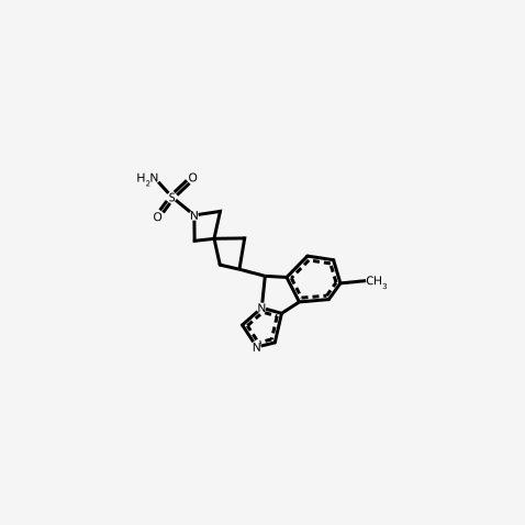 Cc1ccc2c(c1)-c1cncn1C2C1CC2(C1)CN(S(N)(=O)=O)C2